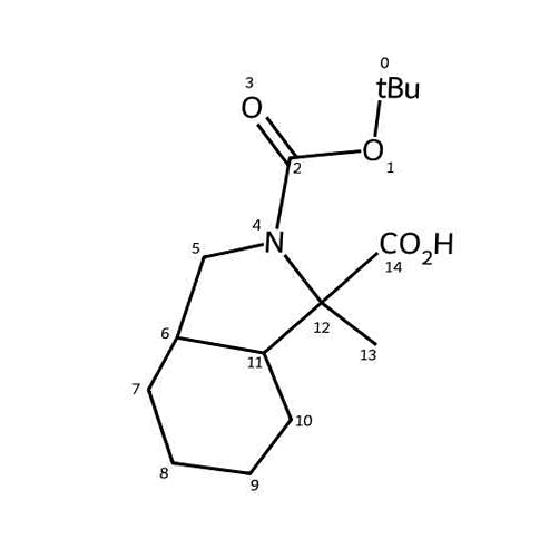 CC(C)(C)OC(=O)N1CC2CCCCC2C1(C)C(=O)O